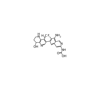 Cc1c(-c2cc3cc(NC(=O)O)ncc3c(N)c2F)cnc2c1NCCC2O